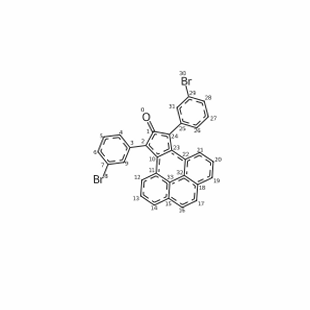 O=c1c(-c2cccc(Br)c2)c2c3cccc4ccc5cccc(c2c1-c1cccc(Br)c1)c5c43